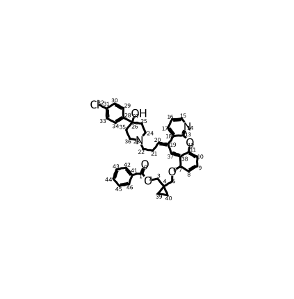 O=C(OCC1(COC2C=CC=C3Oc4ncccc4C(=CCCN4CCC(O)(c5ccc(Cl)cc5)CC4)C=C32)CC1)c1ccccc1